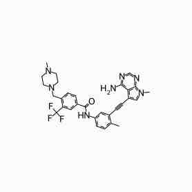 Cc1ccc(NC(=O)c2ccc(CN3CCN(C)CC3)c(C(F)(F)F)c2)cc1C#Cc1cn(C)c2ncnc(N)c12